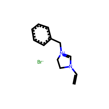 C=CN1C=[N+](Cc2ccccc2)CC1.[Br-]